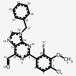 COc1c(Cl)ccc(-c2nc(C=O)c3ncn(Cc4ccccc4)c3n2)c1F